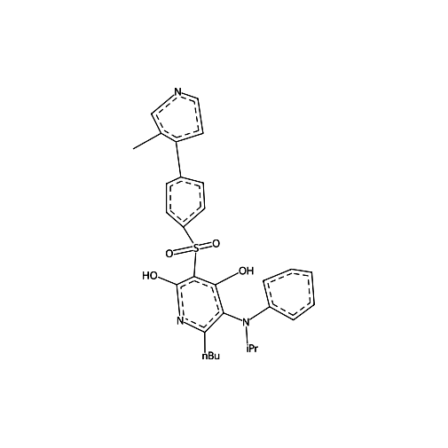 CCCCc1nc(O)c(S(=O)(=O)c2ccc(-c3ccncc3C)cc2)c(O)c1N(c1ccccc1)C(C)C